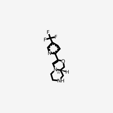 FC(F)(F)c1ccc(C2=CN3CCNC[C@H]3CO2)nc1